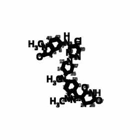 CN1C(=O)Cc2cc(Nc3nc(N4CCC(N(C)c5ccc6c(C7CCC(=O)NC7=O)nn(C)c6c5)CC4)ncc3Cl)ccc21